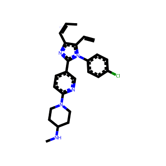 C=Cc1c(/C=C\C)nc(-c2ccc(N3CCC(NC)CC3)nc2)n1-c1ccc(Cl)cc1